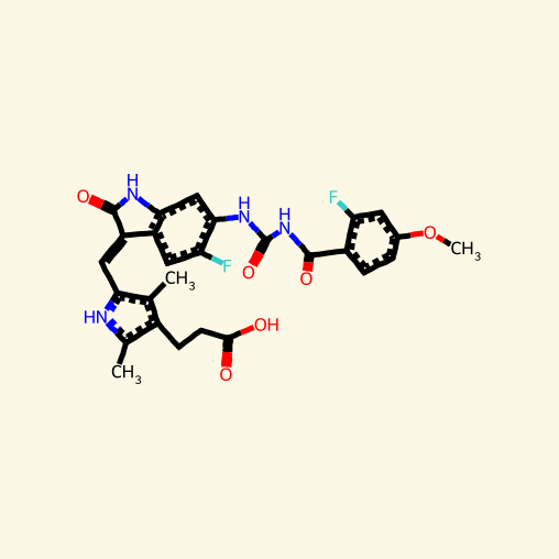 COc1ccc(C(=O)NC(=O)Nc2cc3c(cc2F)C(=Cc2[nH]c(C)c(CCC(=O)O)c2C)C(=O)N3)c(F)c1